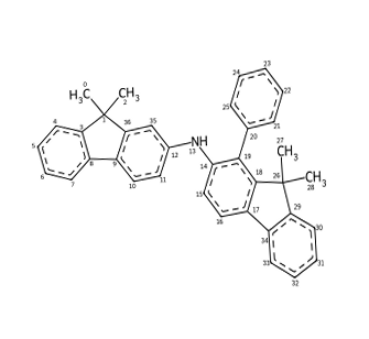 CC1(C)c2ccccc2-c2ccc(Nc3ccc4c(c3-c3ccccc3)C(C)(C)c3ccccc3-4)cc21